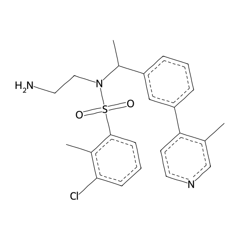 Cc1cnccc1-c1cccc(C(C)N(CCN)S(=O)(=O)c2cccc(Cl)c2C)c1